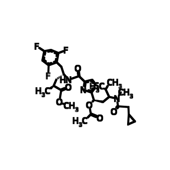 COC(=O)[C@@H](C)C[C@H](Cc1c(F)cc(F)cc1F)NC(=O)c1csc([C@@H](CC(C(C)C)N(C)C(=O)CC2CC2)OC(C)=O)n1